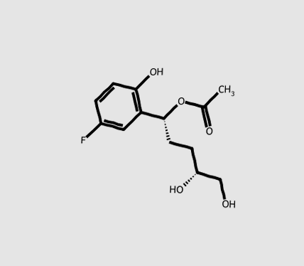 CC(=O)O[C@H](CC[C@@H](O)CO)c1cc(F)ccc1O